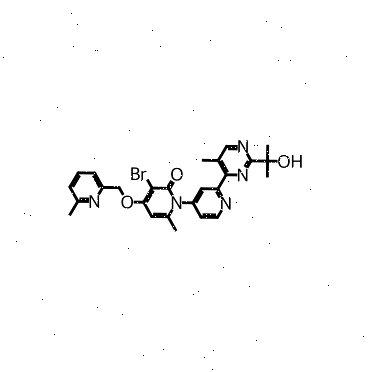 Cc1cccc(COc2cc(C)n(-c3ccnc(-c4nc(C(C)(C)O)ncc4C)c3)c(=O)c2Br)n1